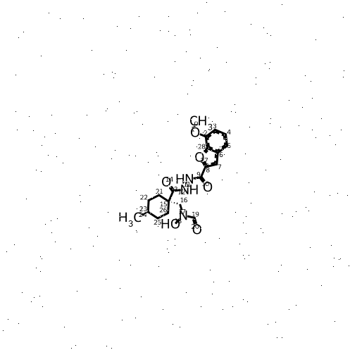 COc1cccc2cc(C(=O)NNC(=O)[C@]3(CN(O)C=O)CC[C@H](C)CC3)oc12